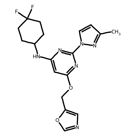 Cc1ccn(-c2nc(NC3CCC(F)(F)CC3)cc(OCc3cnco3)n2)n1